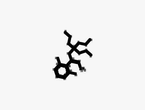 CCCC(CCC)(CCC)C/C(=C/N)c1c(C)cccc1C